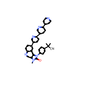 Cn1c(=O)n(-c2ccc(C(C)(C)C#N)cc2)c2c3cc(-c4ccc(-c5ccc(-c6ccncc6)nc5)nc4)ccc3ncc21